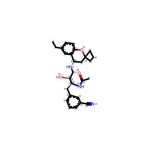 CCc1ccc2c(c1)[C@@H](NC[C@H](O)[C@H](Cc1cccc(C#N)c1)NC(C)=O)CC1(CCC1)O2